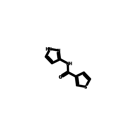 O=C(Nc1cc[nH]n1)c1ccsc1